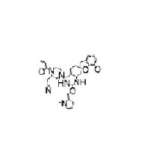 C=CC(=O)N1CCN(C2NC(OCC3CCCN3C)NC3C[C@@]4(CCC32)Cc2cccc(OC)c2O4)CC1CC#N